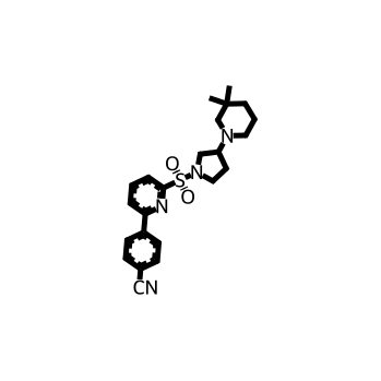 CC1(C)CCCN(C2CCN(S(=O)(=O)c3cccc(-c4ccc(C#N)cc4)n3)C2)C1